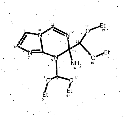 CCOC(OCC)N1c2nccn2C=NC1(N)C(OCC)OCC